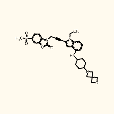 CS(=O)(=O)c1ccc2c(c1)oc(=O)n2CC#Cc1cc2c(NC3CCC(N4CC5(COC5)C4)CC3)cccc2n1CC(F)(F)F